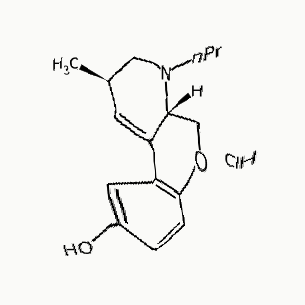 CCCN1C[C@H](C)C=C2c3cc(O)ccc3OC[C@H]21.Cl